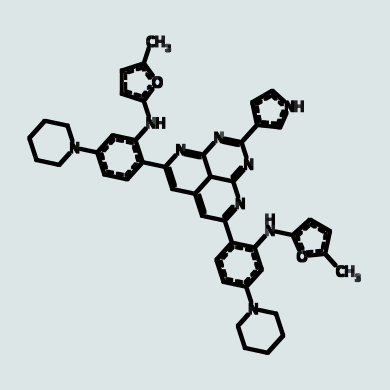 Cc1ccc(Nc2cc(N3CCCCC3)ccc2C2=CC3=CC(c4ccc(N5CCCCC5)cc4Nc4ccc(C)o4)=NC4=NC(c5cc[nH]c5)=NC(=N2)C34)o1